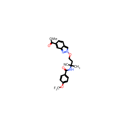 COC(=O)c1ccc2cn(OCCC(C)(C#N)NC(=O)c3ccc(OC(F)(F)F)cc3)nc2c1